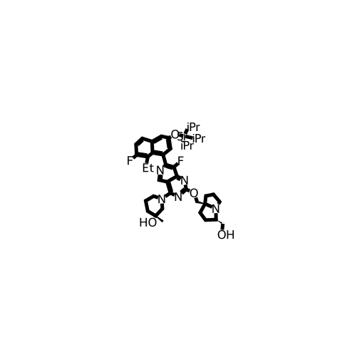 CCc1c(F)ccc2cc(O[Si](C(C)C)(C(C)C)C(C)C)cc(-c3ncc4c(N5CCC[C@@](C)(O)C5)nc(OC[C@@]56CCCN5[C@H](CO)CC6)nc4c3F)c12